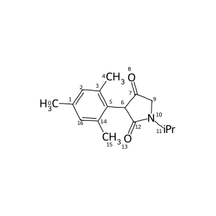 Cc1cc(C)c(C2C(=O)CN(C(C)C)C2=O)c(C)c1